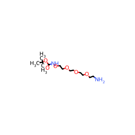 CC(C)(C)OC(=O)NOCCOCCOCCOCCN